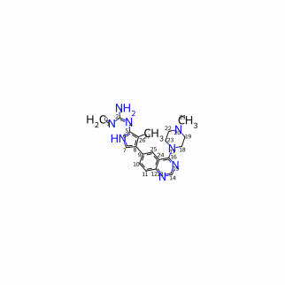 C=N/C(N)=N\c1[nH]cc(-c2ccc3ncnc(N4CCN(C)CC4)c3c2)c1C